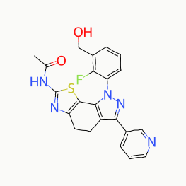 CC(=O)Nc1nc2c(s1)-c1c(c(-c3cccnc3)nn1-c1cccc(CO)c1F)CC2